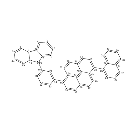 C1=CC2c3ccccc3N(c3cccc(-c4ccc5ccc6c(-c7cccc8ccccc78)ccc7ccc4c5c76)c3)C2C=C1